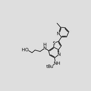 Cc1cccc(-c2cc3nc(NC(C)(C)C)cc(NCCCO)c3s2)n1